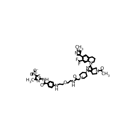 CC(=O)N1CCc2c(c(N3CCCc4cc(-c5cnn(C)c5)c(C(F)F)cc43)nn2C2CCN(CC(=O)NCCOCCNc3ccc(C(=O)Nc4nc(C)c([N+](=O)[O-])s4)cc3)CC2)C1